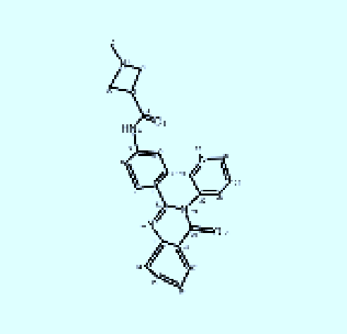 CN1CC(C(=O)Nc2ccc(-c3nc4ccccc4c(=O)n3-c3cccnc3)cc2)C1